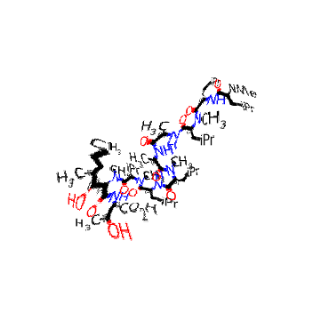 CC=CC[C@@H](C)[C@@H](O)[C@@H](C(=O)N[C@H](C(=O)O)[C@@H](C)O)N(C)C(=O)[C@H](C(C)C)N(C)C(=O)[C@H](CC(C)C)NC(=O)[C@H](CC(C)C)N(C)C(=O)[C@@H](C)NC(=O)[C@H](C)NC(=O)[C@H](CC(C)C)N(C)C(=O)[C@H](CC(C)C)NC(=O)[C@H](CC(C)C)NC